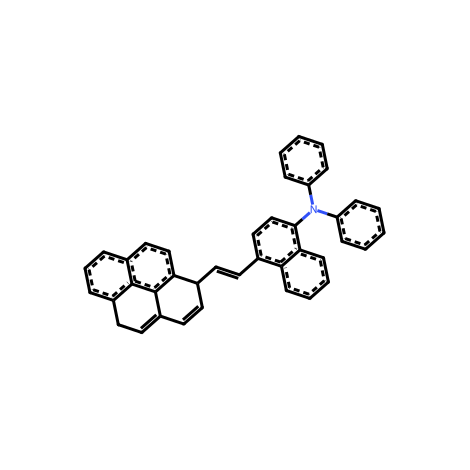 C1=CC(C=Cc2ccc(N(c3ccccc3)c3ccccc3)c3ccccc23)c2ccc3cccc4c3c2C1=CC4